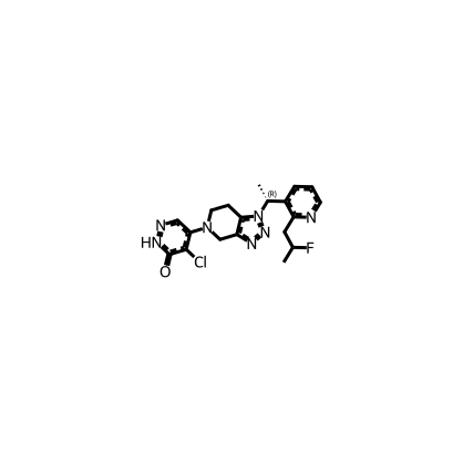 CC(F)Cc1ncccc1[C@@H](C)n1nnc2c1CCN(c1cn[nH]c(=O)c1Cl)C2